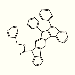 O=C(OCc1ccccc1)n1c2ccccc2c2cc3c4c5ccccc5cc(-c5ccccc5)c4n(-c4ccccc4)c3cc21